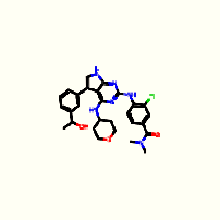 CC(O)c1cccc(-c2c[nH]c3nc(Nc4ccc(C(=O)N(C)C)cc4Cl)nc(NC4CCOCC4)c23)c1